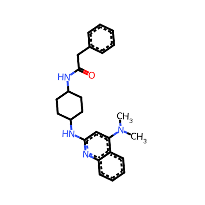 CN(C)c1cc(NC2CCC(NC(=O)Cc3ccccc3)CC2)nc2ccccc12